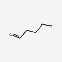 O=CCCCF